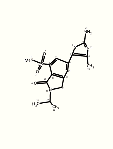 CNS(=O)(=O)c1cc(-c2sc(N)nc2C)cc2c1C(=O)N(C(C)C(F)(F)F)C2